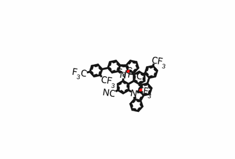 N#Cc1cc(-n2c3ccccc3c3ccc(-c4ccc(C(F)(F)F)cc4C(F)(F)F)cc32)c(-c2c(C(F)(F)F)cccc2C(F)(F)F)c(-n2c3ccccc3c3ccc(-c4ccc(C(F)(F)F)cc4C(F)(F)F)cc32)c1